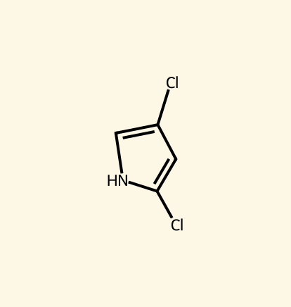 Clc1c[nH]c(Cl)c1